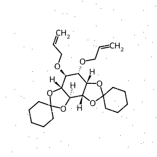 C=CCO[C@H]1[C@H](OCC=C)[C@@H]2OC3(CCCCC3)O[C@@H]2[C@H]2OC3(CCCCC3)O[C@H]12